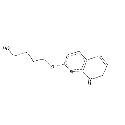 OCCCCOc1ccc2c(n1)NCC=C2